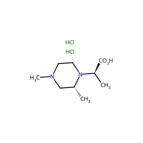 C[C@@H]1CN(C)CCN1[C@H](C)C(=O)O.Cl.Cl